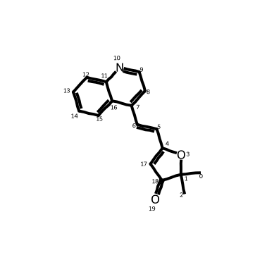 CC1(C)OC(C=Cc2ccnc3ccccc23)=CC1=O